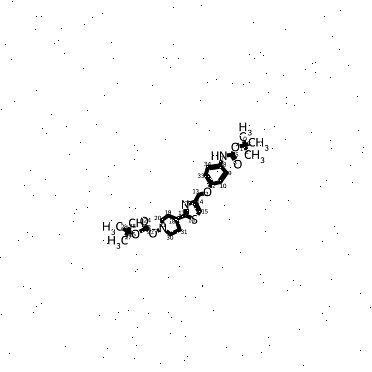 CC(C)(C)OC(=O)Nc1ccc(OCc2csc(C3CCN(OC(=O)OC(C)(C)C)CC3)n2)cc1